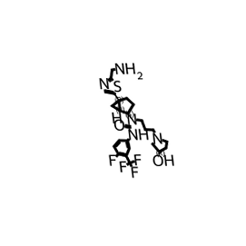 NCc1ncc([C@@]23CC[C@H](N(CCCN4CC[C@@H](O)C4)C(=O)Nc4ccc(F)c(C(F)(F)F)c4)[C@@H]2C3)s1